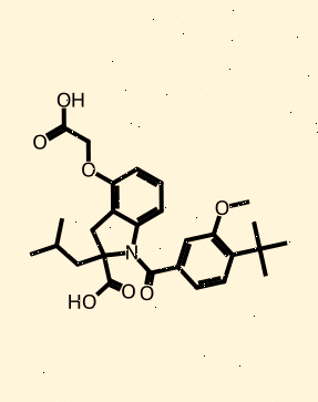 COc1cc(C(=O)N2c3cccc(OCC(=O)O)c3CC2(CC(C)C)C(=O)O)ccc1C(C)(C)C